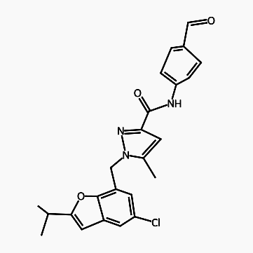 Cc1cc(C(=O)Nc2ccc(C=O)cc2)nn1Cc1cc(Cl)cc2cc(C(C)C)oc12